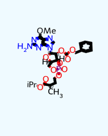 COc1nc(N)nc2c1ncn2[C@@H]1O[C@@H]2COP(=O)(OCC[C@@H](C)C(=O)OC(C)C)O[C@H]2[C@@H]1OC(=O)OCc1ccccc1